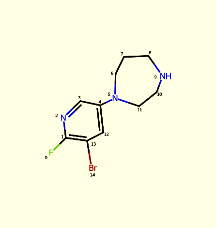 Fc1ncc(N2CCCNCC2)cc1Br